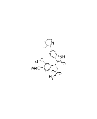 CCOc1cc([C@@H](CS(C)(=O)=O)n2c(=O)[nH]c3cc(-c4ncccc4F)ccc32)ccc1OC